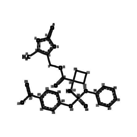 Cc1oc(=O)oc1COC(=O)C1(NP(=O)(Oc2ccccc2)Oc2ccc([N+](=O)[O-])cc2)CCC1